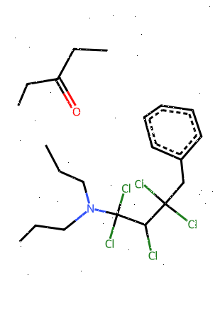 CCC(=O)CC.CCCN(CCC)C(Cl)(Cl)C(Cl)C(Cl)(Cl)Cc1ccccc1